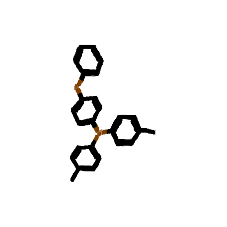 Cc1ccc([S+](c2ccc(C)cc2)c2ccc(Sc3ccccc3)cc2)cc1